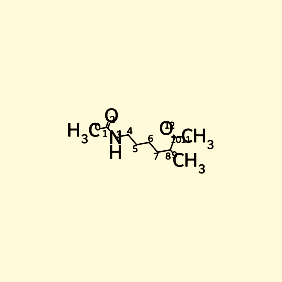 CC(=O)NCCCCC(C)C(C)=O